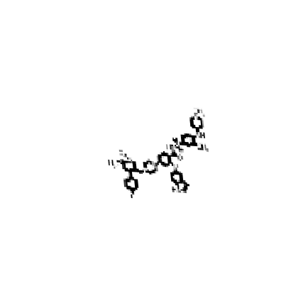 Cc1cc(S(=O)(=O)NC(=O)c2ccc(N3CCN(CC4=C(c5ccc(Cl)cc5)CC(C)(C)OC4)CC3)cc2Oc2ccc3[nH]ccc3c2)ccc1NC1CCN(C)CC1